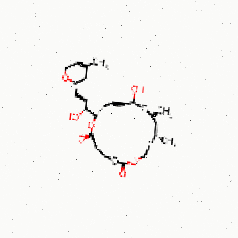 C=C1C[C@H](C)CCOC(=O)CCCC(=O)O[C@H]([C@@H](O)/C=C/[C@@H]2CC(C)=CCO2)C/C=C/[C@@H](O)C1